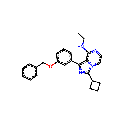 CCNc1nccn2c(C3CCC3)nc(-c3cccc(OCc4ccccc4)c3)c12